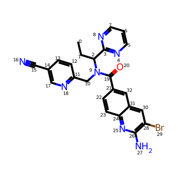 CCC(c1ncccn1)N(Cc1ccc(C#N)cn1)C(=O)c1ccc2nc(N)c(Br)cc2c1